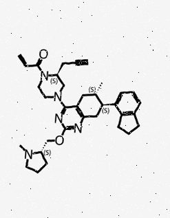 C#CC[C@H]1CN(c2nc(OC[C@@H]3CCCN3C)nc3c2C[C@H](C)[C@@H](c2cccc4c2CCC4)C3)CCN1C(=O)C=C